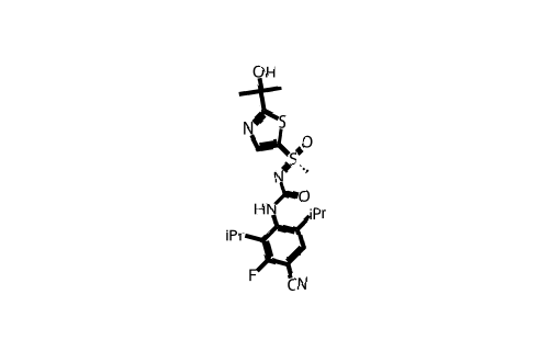 CC(C)c1cc(C#N)c(F)c(C(C)C)c1NC(=O)N=[S@](C)(=O)c1cnc(C(C)(C)O)s1